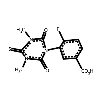 Cn1c(=S)n(C)c(=O)n(-c2cc(C(=O)O)ccc2F)c1=O